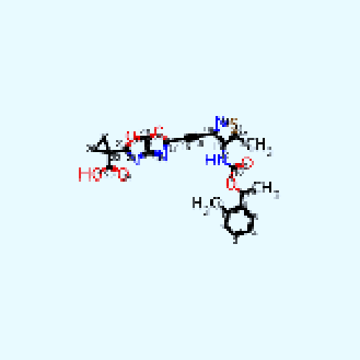 Cc1ccccc1C(C)OC(=O)Nc1c(C#Cc2nc3nc(C4(C(=O)O)CC4)oc3o2)nsc1C